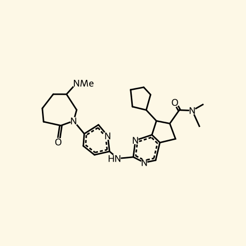 CNC1CCCC(=O)N(c2ccc(Nc3ncc4c(n3)C(C3CCCC3)C(C(=O)N(C)C)C4)nc2)C1